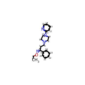 CCO/N=C(/CCN1CCN(c2ccccn2)CC1)c1ccccc1